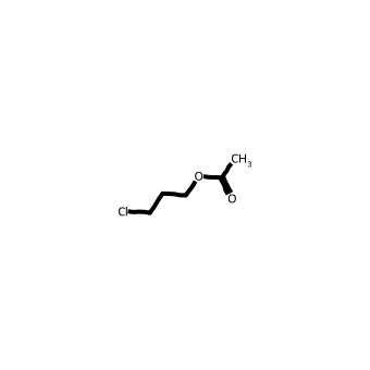 CC(=O)OCCCCl